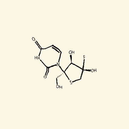 O=c1ccn([C@]2(CO)SC[C@@](O)(F)[C@@H]2O)c(=O)[nH]1